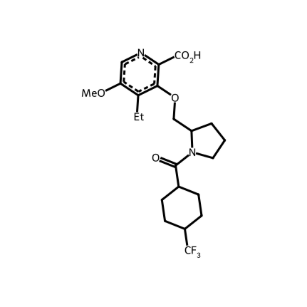 CCc1c(OC)cnc(C(=O)O)c1OCC1CCCN1C(=O)C1CCC(C(F)(F)F)CC1